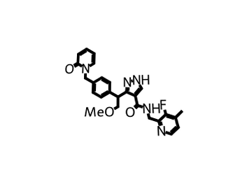 COCC(c1ccc(Cn2ccccc2=O)cc1)c1n[nH]cc1C(=O)NCc1nccc(C)c1F